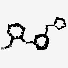 CCOc1ccccc1Oc1cccc(CN2CCCC2)c1